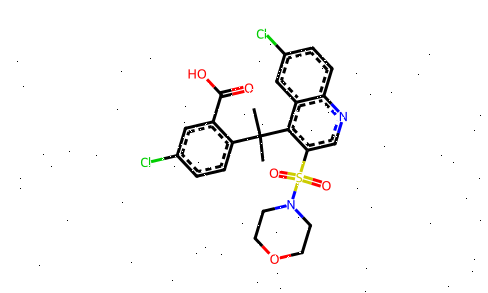 CC(C)(c1ccc(Cl)cc1C(=O)O)c1c(S(=O)(=O)N2CCOCC2)cnc2ccc(Cl)cc12